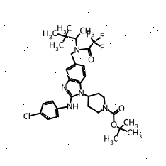 CC(N(Cc1ccc2c(c1)nc(Nc1ccc(Cl)cc1)n2C1CCN(C(=O)OC(C)(C)C)CC1)C(=O)C(F)(F)F)C(C)(C)C